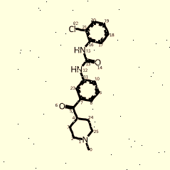 CN1CCC(C(=O)c2cccc(NC(=O)Nc3ccccc3Cl)c2)CC1